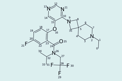 CCN1CCC2(CC1)CN(c1ncncc1Oc1ccc(F)cc1C(=O)N(CC(F)(F)F)C(C)C)C2